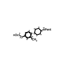 CCCCCCCCOc1ccc([C@H]2CC[C@H](CCCCC)CC2)c(C)c1